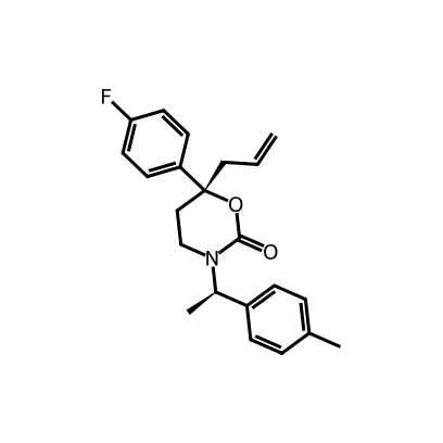 C=CC[C@]1(c2ccc(F)cc2)CCN([C@H](C)c2ccc(C)cc2)C(=O)O1